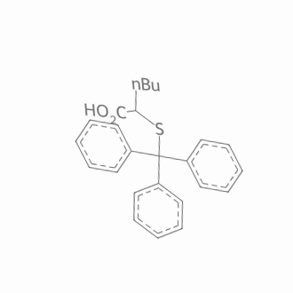 CCCCC(SC(c1ccccc1)(c1ccccc1)c1ccccc1)C(=O)O